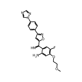 COCCOc1cc(N)c(C(=N)c2cc(-c3ccc(-n4cncn4)cc3)no2)cc1F